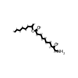 CCCCCCC(C)OC(=O)CCCCCCCC(=O)CN